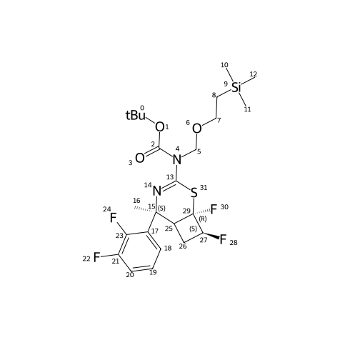 CC(C)(C)OC(=O)N(COCC[Si](C)(C)C)C1=N[C@](C)(c2cccc(F)c2F)C2C[C@H](F)[C@]2(F)S1